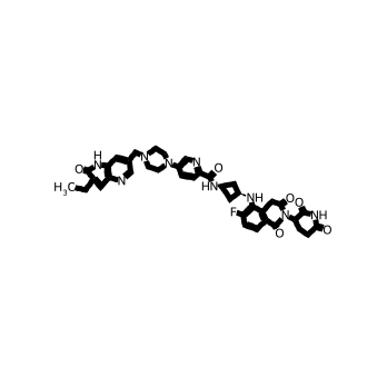 CCc1cc2ncc(CN3CCN(c4ccc(C(=O)N[C@H]5C[C@@H](Nc6c(F)ccc7c6CC(=O)N(C6CCC(=O)NC6=O)C7=O)C5)nc4)CC3)cc2[nH]c1=O